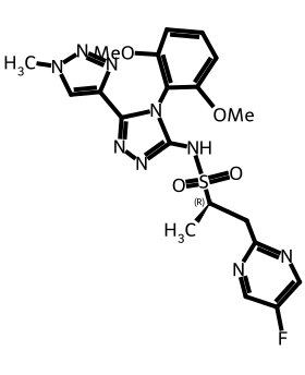 COc1cccc(OC)c1-n1c(NS(=O)(=O)[C@H](C)Cc2ncc(F)cn2)nnc1-c1cn(C)nn1